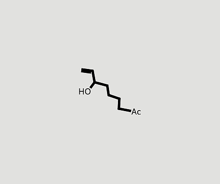 C=CC(O)CCCCC(C)=O